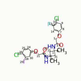 CC1(NC(=O)COc2ccc(Cl)c(F)c2)CC(C)(NC(=O)COc2ccc(Cl)c(I)c2)C1